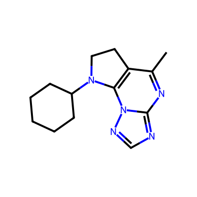 Cc1nc2ncnn2c2c1CCN2C1CCCCC1